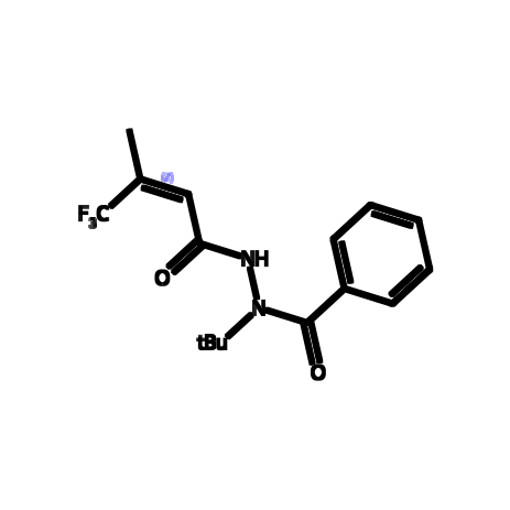 C/C(=C/C(=O)NN(C(=O)c1ccccc1)C(C)(C)C)C(F)(F)F